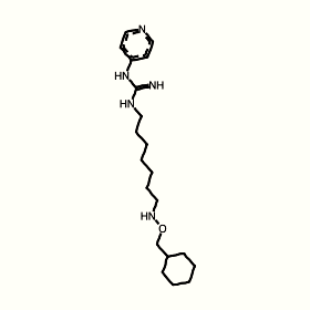 N=C(NCCCCCCCNOCC1CCCCC1)Nc1ccncc1